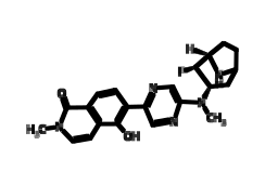 CN(c1cnc(-c2ccc3c(=O)n(C)ccc3c2O)cn1)[C@@H]1CC2CC[C@H](N2)[C@@H]1F